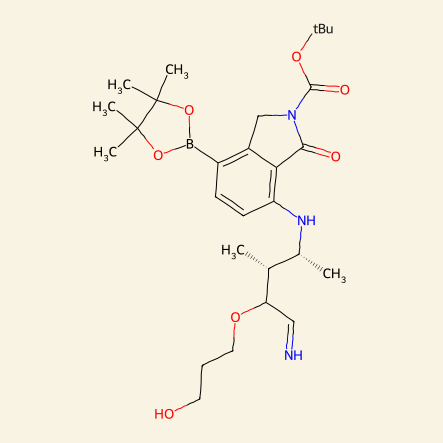 C[C@@H](Nc1ccc(B2OC(C)(C)C(C)(C)O2)c2c1C(=O)N(C(=O)OC(C)(C)C)C2)[C@@H](C)C(C=N)OCCCO